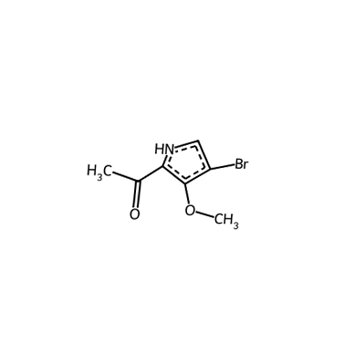 COc1c(Br)c[nH]c1C(C)=O